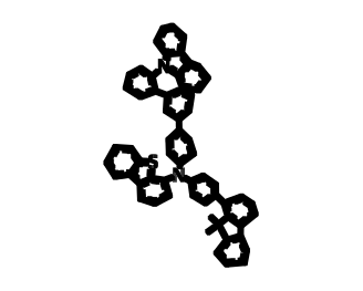 CC1(C)c2ccccc2-c2cccc(-c3ccc(N(c4ccc(-c5cccc(-c6ccccc6-n6c7ccccc7c7ccccc76)c5)cc4)c4cccc5c4sc4ccccc45)cc3)c21